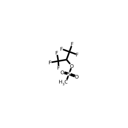 CS(=O)(=O)O[C](C(F)(F)F)C(F)(F)F